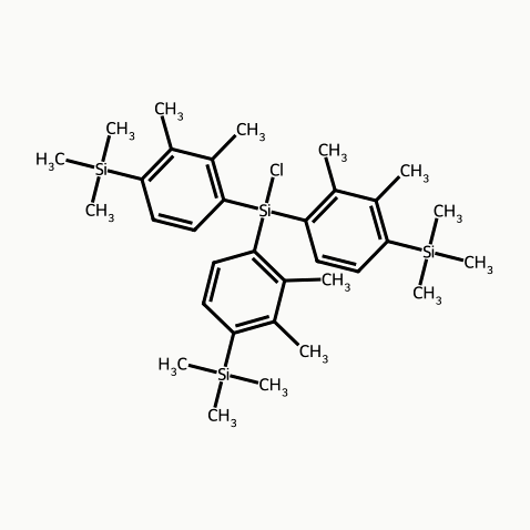 Cc1c([Si](C)(C)C)ccc([Si](Cl)(c2ccc([Si](C)(C)C)c(C)c2C)c2ccc([Si](C)(C)C)c(C)c2C)c1C